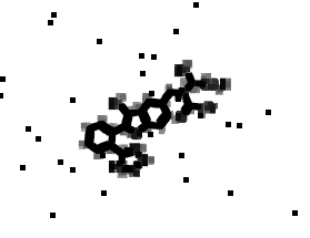 CCCC(=O)N(Cc1ccc2oc(-c3ccccc3-c3nnn[nH]3)c(Br)c2c1)[C@H](C(=O)O)C(C)C